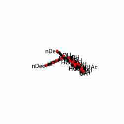 CCCCCCCCCCCCC/C=C/[C@@H](O)[C@H](CO[C@@H]1OC(CO)[C@@H](O[C@@H]2OC(CO)[C@H](O)[C@H](O[C@H]3OC(CO)[C@H](O)[C@H](O[C@@H]4OC(CO)[C@@H](O)[C@H](O)C4NC(C)=O)C3O)C2O)[C@H](O)C1O)NC(=O)CCCCCCCCCCCCCCCCCCCCCCC